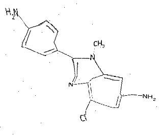 Cn1c(-c2ccc(N)cc2)nc2c(Cl)cc(N)cc21